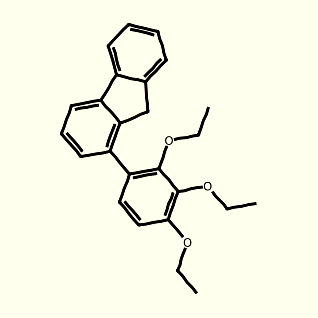 CCOc1ccc(-c2cccc3c2Cc2ccccc2-3)c(OCC)c1OCC